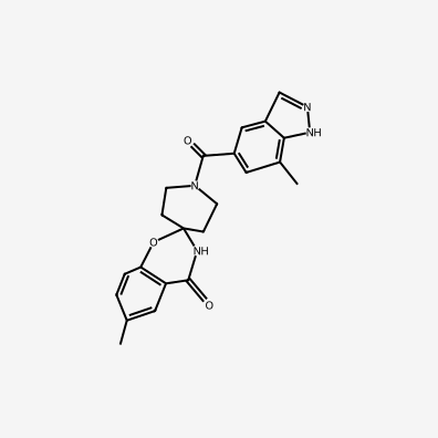 Cc1ccc2c(c1)C(=O)NC1(CCN(C(=O)c3cc(C)c4[nH]ncc4c3)CC1)O2